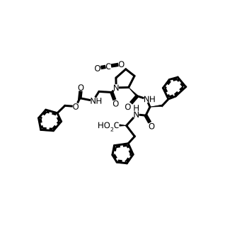 O=C(NCC(=O)N1CCC[C@H]1C(=O)N[C@@H](Cc1ccccc1)C(=O)N[C@@H](Cc1ccccc1)C(=O)O)OCc1ccccc1.O=C=O